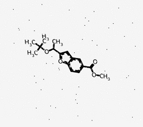 COC(=O)c1ccc2oc(C(C)OC(C)(C)C)cc2c1